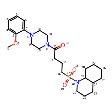 COc1ccccc1N1CCN(C(=O)CCCS(=O)(=O)N2CCCC3CCCCC32)CC1